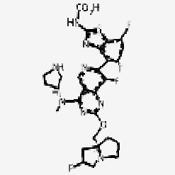 CN(c1nc(OC[C@@]23CCCN2CC(F)C3)nc2c(F)c(-c3c(F)cc(F)c4sc(NC(=O)O)nc34)ncc12)[C@@H]1CCNC1